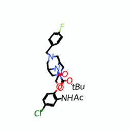 CC(=O)Nc1cc(Cl)ccc1OCC(=O)N1C2CN(Cc3ccc(F)cc3)CC1CN(C(=O)OC(C)(C)C)C2